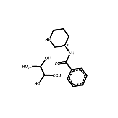 O=C(N[C@@H]1CCCNC1)c1ccccc1.O=C(O)C(O)C(O)C(=O)O